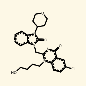 O=c1nc(Cn2c(=O)n(C3CCOCC3)c3ccncc32)n(CCCCO)c2ccc(Cl)cc12